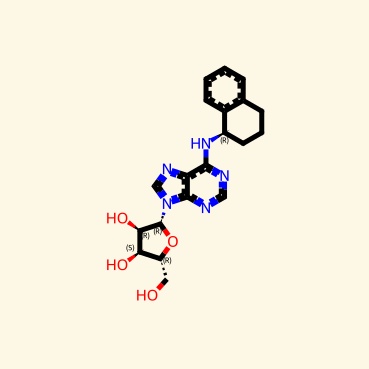 OC[C@H]1O[C@@H](n2cnc3c(N[C@@H]4CCCc5ccccc54)ncnc32)[C@H](O)[C@@H]1O